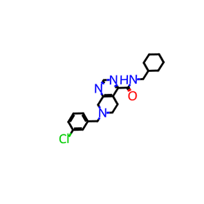 O=C(NCC1CCCCC1)c1ncnc2c1CCN(Cc1cccc(Cl)c1)C2